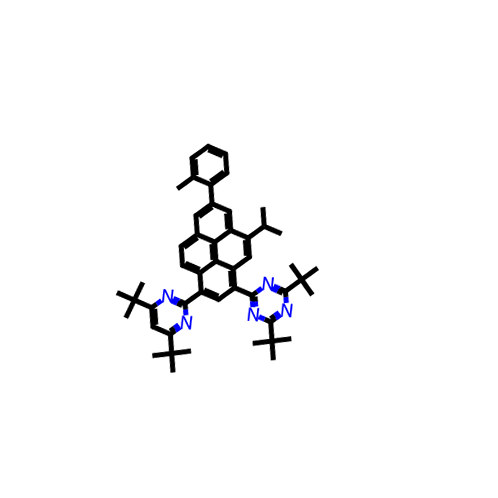 Cc1ccccc1-c1cc2ccc3c(-c4nc(C(C)(C)C)cc(C(C)(C)C)n4)cc(-c4nc(C(C)(C)C)nc(C(C)(C)C)n4)c4cc(C(C)C)c(c1)c2c34